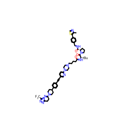 Cc1ncsc1-c1ccc(CNC(=O)[C@@H]2CCCN2C(=O)[C@@H](NC(=O)CCCCN2CCN(c3ccc(C#Cc4ccc(C5CCN(C6=Nn7c(nnc7C(F)(F)F)CC6)CC5)cc4)cn3)CC2)C(C)(C)C)cc1